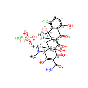 CN(C)[C@@H]1C(O)=C(C(N)=O)C(=O)[C@@]2(O)C(O)=C3C(=O)c4c(O)ccc(Cl)c4[C@@](C)(O)[C@H]3C[C@@H]12.Cl.O=P(O)(O)O